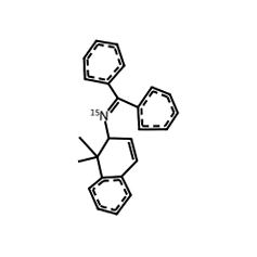 CC1(C)c2ccccc2C=CC1[15N]=C(c1ccccc1)c1ccccc1